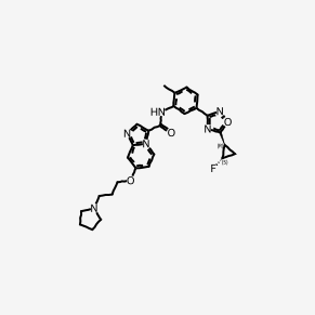 Cc1ccc(-c2noc([C@H]3C[C@@H]3F)n2)cc1NC(=O)c1cnc2cc(OCCCN3CCCC3)ccn12